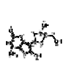 Nc1[nH]c(=O)nc2c1nc(O)n2[C@H]1C[C@H](O)[C@@H](CO)O1